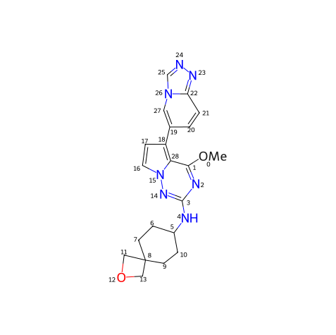 COc1nc(NC2CCC3(CC2)COC3)nn2ccc(-c3ccc4nncn4c3)c12